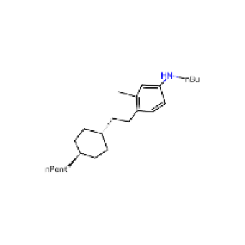 CCCCC[C@H]1CC[C@H](CCc2ccc(NCCCC)cc2C)CC1